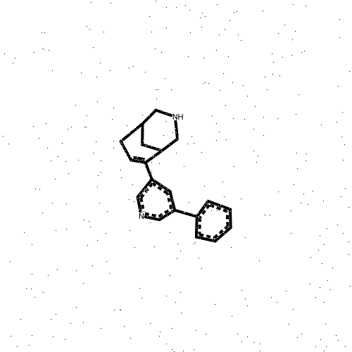 C1=C(c2cncc(-c3ccccc3)c2)C2CNCC(C1)C2